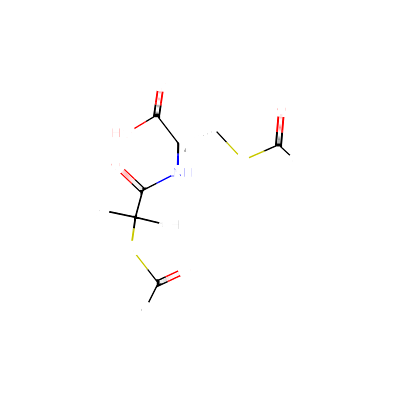 CC(=O)SC[C@H](NC(=O)C(C)(C)SC(C)=O)C(=O)O